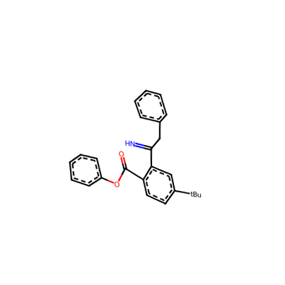 CC(C)(C)c1ccc(C(=O)Oc2ccccc2)c(C(=N)Cc2ccccc2)c1